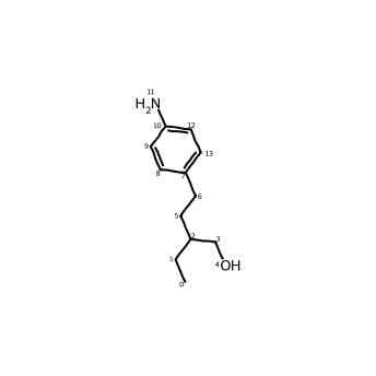 CCC(CO)CCc1ccc(N)cc1